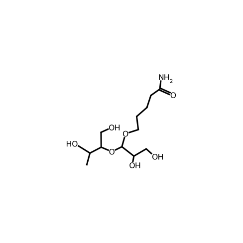 CC(O)C(CO)OC(OCCCCC(N)=O)C(O)CO